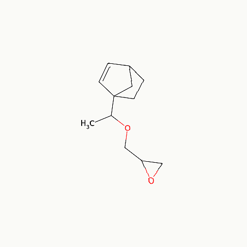 CC(OCC1CO1)C12C=CC(CC1)C2